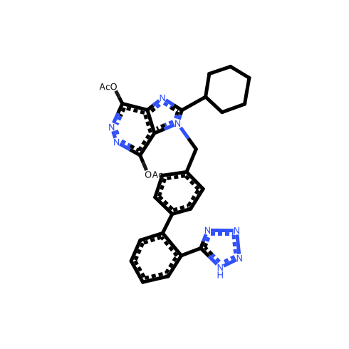 CC(=O)Oc1nnc(OC(C)=O)c2c1nc(C1CCCCC1)n2Cc1ccc(-c2ccccc2-c2nnn[nH]2)cc1